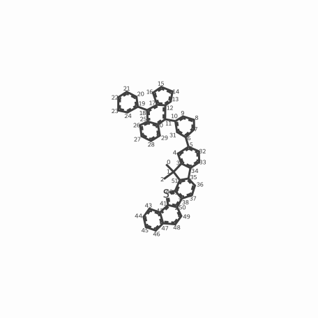 CC1(C)c2cc(-c3cccc(-c4c5ccccc5c(-c5ccccc5)c5ccccc45)c3)ccc2-c2ccc3c(sc4c5ccccc5ccc34)c21